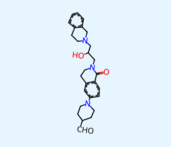 O=CC1CCN(c2ccc3c(c2)CCN(CC(O)CN2CCc4ccccc4C2)C3=O)CC1